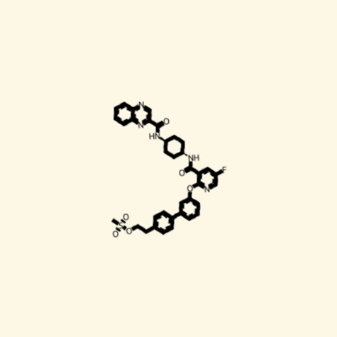 CS(=O)(=O)OCCc1ccc(-c2cccc(Oc3ncc(F)cc3C(=O)N[C@H]3CC[C@H](NC(=O)c4cnc5ccccc5n4)CC3)c2)cc1